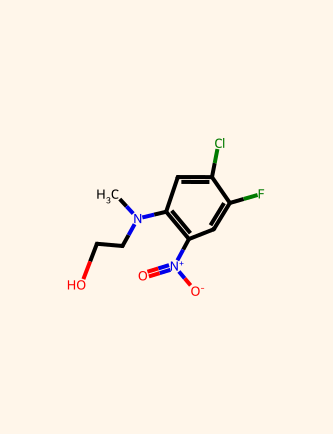 CN(CCO)c1cc(Cl)c(F)cc1[N+](=O)[O-]